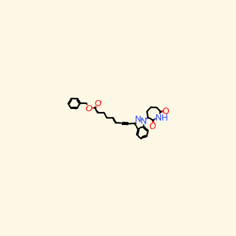 O=C1CCCC(n2nc(C#CCCCCCC(=O)OCc3ccccc3)c3ccccc32)C(=O)N1